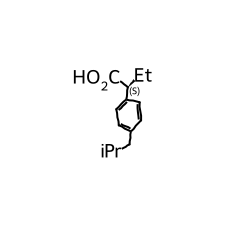 CC[C@H](C(=O)O)c1ccc(CC(C)C)cc1